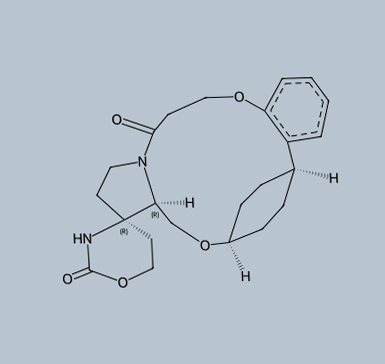 O=C1N[C@@]2(CCO1)CCN1C(=O)CCOc3ccccc3[C@H]3CC[C@H](CC3)OC[C@H]12